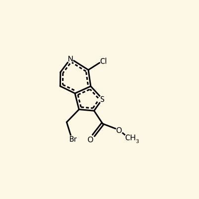 COC(=O)c1sc2c(Cl)nccc2c1CBr